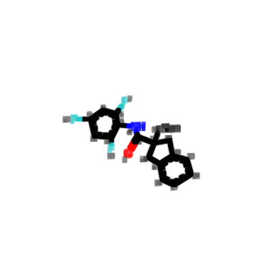 CCCCCCCCCC1(C(=O)Nc2c(F)cc(F)cc2F)Cc2ccccc2C1